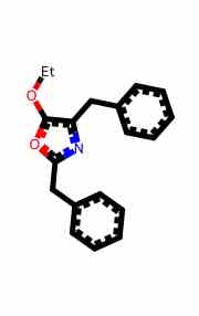 CCOc1oc(Cc2ccccc2)nc1Cc1ccccc1